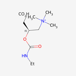 CCNC(=O)O[C@@H](CC(=O)O)C[N+](C)(C)C